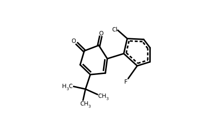 CC(C)(C)C1=CC(=O)C(=O)C(c2c(F)cccc2Cl)=C1